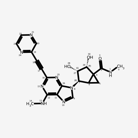 CNC(=O)C12CC1[C@@H](n1cnc3c(NC)nc(C#Cc4cnccn4)nc31)[C@H](O)[C@@H]2O